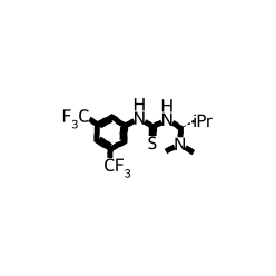 CC(C)[C@@H](NC(=S)Nc1cc(C(F)(F)F)cc(C(F)(F)F)c1)N(C)C